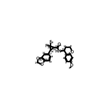 COc1ccc2c(c1)OCCC2NC(=O)C1C(c2ccc3c(c2)OCO3)C1(F)F